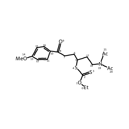 CCOC(=S)SC(CCC(=O)c1ccc(OC)cc1)CCN(C(C)=O)C(C)=O